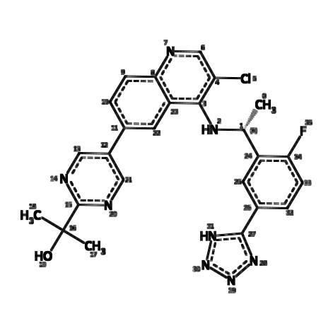 C[C@@H](Nc1c(Cl)cnc2ccc(-c3cnc(C(C)(C)O)nc3)cc12)c1cc(-c2nnn[nH]2)ccc1F